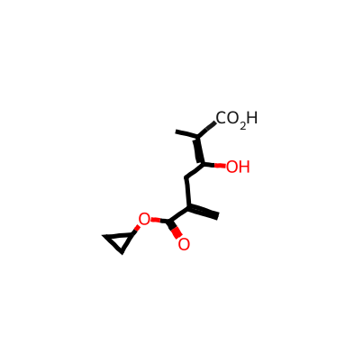 C=C(CC(O)=C(C)C(=O)O)C(=O)OC1CC1